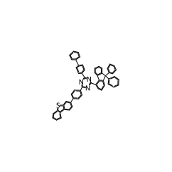 c1ccc(-c2ccc(-c3nc(-c4ccc(-c5ccc6c(c5)sc5ccccc56)cc4)nc(-c4cccc5c4-c4ccccc4C5(c4ccccc4)c4ccccc4)n3)cc2)cc1